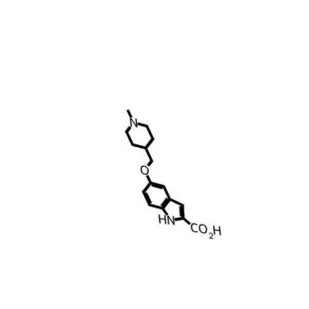 CN1CCC(COc2ccc3[nH]c(C(=O)O)cc3c2)CC1